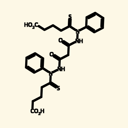 O=C(O)CCCC(=S)N(NC(=O)CC(=O)NN(C(=S)CCCC(=O)O)c1ccccc1)c1ccccc1